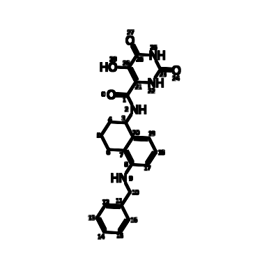 O=C(NC1CCCc2c(NCc3ccccc3)cccc21)c1[nH]c(=O)[nH]c(=O)c1O